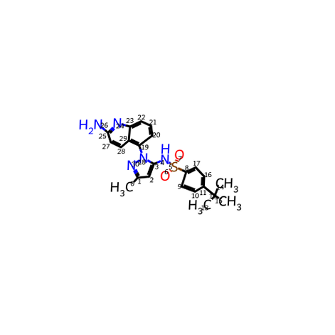 Cc1cc(NS(=O)(=O)c2ccc(C(C)(C)C)cc2)n(-c2cccc3nc(N)ccc23)n1